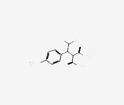 COC(=O)C(C(=O)OC)C(c1ccc(OC)cc1)C([N+](=O)[O-])C(F)(F)F